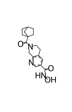 O=C(NO)c1cnc2c(c1)CCN(C(=O)C13CCC(CC1)C3)C2